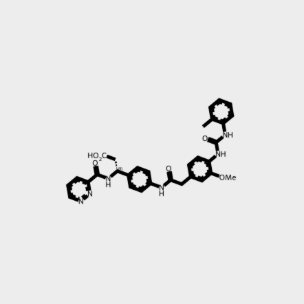 COc1cc(CC(=O)Nc2ccc([C@@H](CC(=O)O)NC(=O)c3cccnn3)cc2)ccc1NC(=O)Nc1ccccc1C